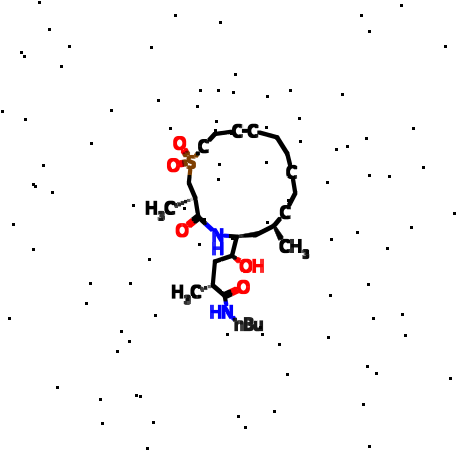 CCCCNC(=O)[C@H](C)C[C@H](O)[C@@H]1C[C@H](C)CCCCCCCCCS(=O)(=O)C[C@@H](C)C(=O)N1